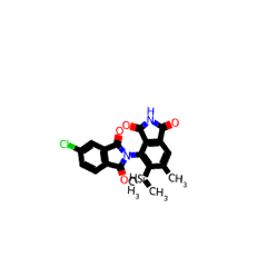 Cc1cc2c(c(N3C(=O)c4ccc(Cl)cc4C3=O)c1[SiH](C)C)C(=O)NC2=O